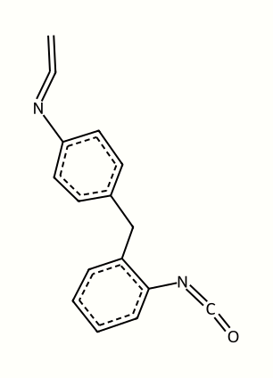 C=C=Nc1ccc(Cc2ccccc2N=C=O)cc1